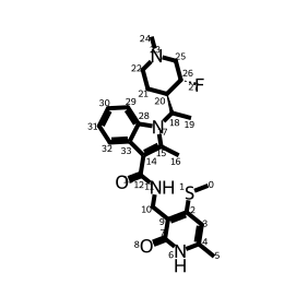 CSc1cc(C)[nH]c(=O)c1CNC(=O)c1c(C)n(C(C)[C@H]2CCN(C)C[C@@H]2F)c2ccccc12